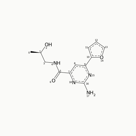 C[C@@H](O)CNC(=O)c1cc(-c2ccco2)nc(N)n1